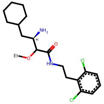 CCOC(C(=O)NCCc1c(Cl)cccc1Cl)[C@H](N)CC1CCCCC1